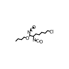 CCCCOC(N=C=O)C(CCCCCCl)N=C=O